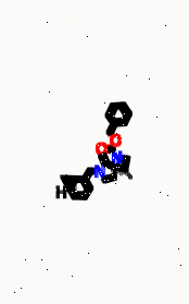 C=C1N(CC2=CC=C[C@H]3C=C23)CC[C@@]12[C@@H](C)CN2C(=O)OCc1ccccc1